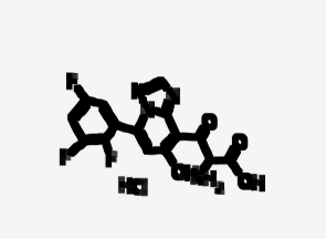 Cl.NC(C(=O)O)C(=O)c1c(O)cc(-c2cc(F)cc(F)c2F)n2ncnc12